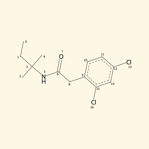 CCC(C)(C)NC(=O)Cc1ccc(Cl)cc1Cl